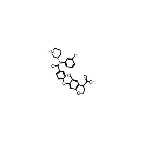 O=C(O)C1CCOc2cc(Oc3ccc(C(=O)N(c4cccc(Cl)c4)[C@H]4CCCNC4)cc3)c(Cl)cc21